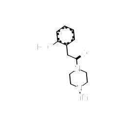 Cc1ccccc1CC(=O)N1CCN(C(C)C)CC1